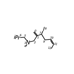 C=C(CN(C)CC(C)C)C(I)C/C=C\C